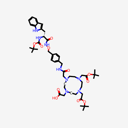 CC(C)(C)OC(=O)CN1CCN(CC(=O)O)CCN(CC(=O)NCc2ccc(CONC(=O)[C@@H](Cc3cc4ccccc4[nH]3)NC(=O)OC(C)(C)C)cc2)CCN(CC(=O)OC(C)(C)C)CC1